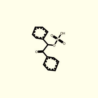 O=C(c1ccccc1)C(OS(=O)(=O)O)c1ccccc1